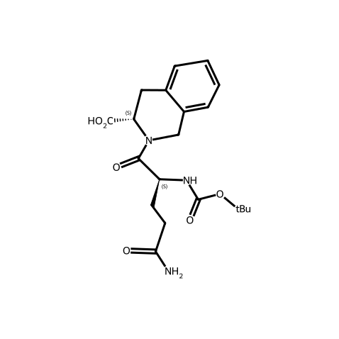 CC(C)(C)OC(=O)N[C@@H](CCC(N)=O)C(=O)N1Cc2ccccc2C[C@H]1C(=O)O